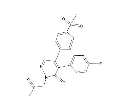 C=C(C)Cn1ncc(-c2ccc(S(C)(=O)=O)cc2)c(-c2ccc(F)cc2)c1=O